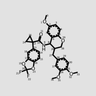 COc1ccc2c(c1)C(NC(=O)C1(c3ccc4c(c3)OC(F)(F)O4)CC1)C(Cc1ccc(OC)c(OC)c1)CO2